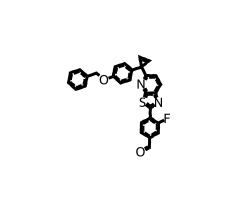 O=Cc1ccc(-c2nc3ccc(C4(c5ccc(OCc6ccccc6)cc5)C=C4)nc3s2)c(F)c1